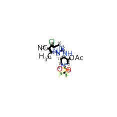 CC(=O)O[C@@H]1CN(S(=O)(=O)C(F)F)CC[C@H]1Nc1ncc2c(Cl)c(C#N)c(C)n2n1